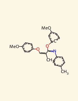 COc1ccc(OC=C(C)C(=Nc2ccc(C)cc2)Oc2cccc(OC)c2)cc1